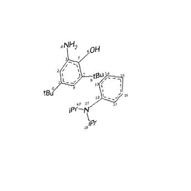 CC(C)(C)c1cc(N)c(O)c(C(C)(C)C)c1.CC(C)N(c1ccccc1)C(C)C